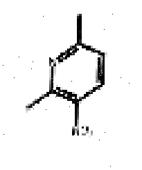 Cc1ccc([N+](=O)[O-])c(I)n1